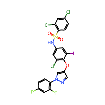 O=S(=O)(Nc1cc(Cl)c(Oc2cnn(-c3ccc(F)cc3F)c2)c(I)c1)c1ccc(Cl)cc1Cl